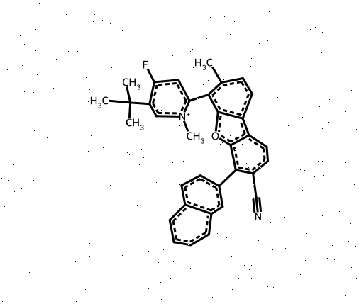 Cc1ccc2c(oc3c(-c4ccc5ccccc5c4)c(C#N)ccc32)c1-c1cc(F)c(C(C)(C)C)c[n+]1C